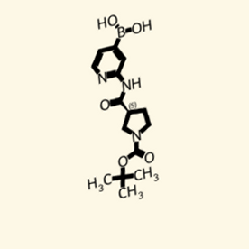 CC(C)(C)OC(=O)N1CC[C@H](C(=O)Nc2cc(B(O)O)ccn2)C1